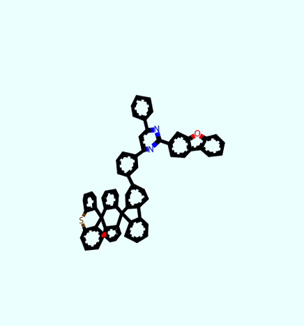 c1ccc(-c2cc(-c3cccc(-c4ccc5c(c4)C4(c6ccccc6-5)c5ccccc5C5(c6ccccc6Sc6ccccc65)c5ccccc54)c3)nc(-c3ccc4c(c3)oc3ccccc34)n2)cc1